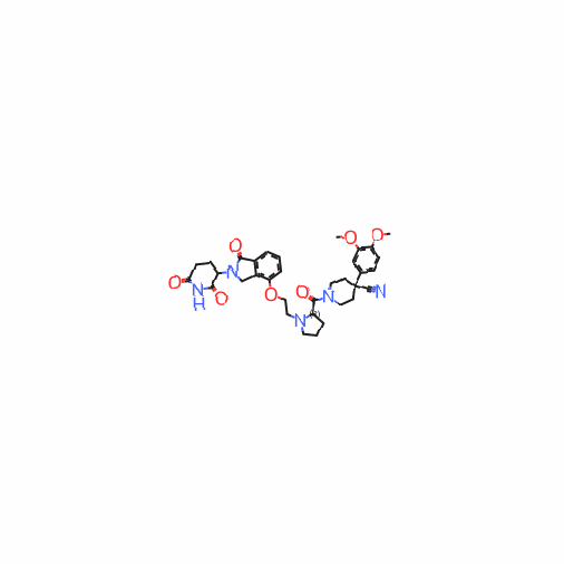 COc1ccc(C2(C#N)CCN(C(=O)[C@H]3CCCN3CCOc3cccc4c3CN(C3CCC(=O)NC3=O)C4=O)CC2)cc1OC